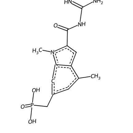 Cc1cc(CP(=O)(O)O)cc2c1cc(C(=O)NC(=N)N)n2C